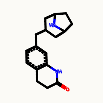 O=C1CCc2ccc(CC3CC4CCC(C3)N4)cc2N1